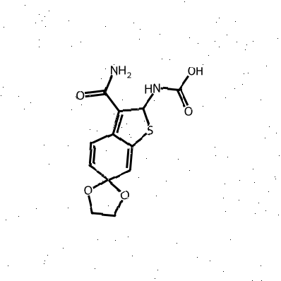 NC(=O)C1=C2C=CC3(C=C2SC1NC(=O)O)OCCO3